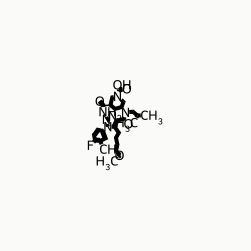 COCCCCc1c(C(=O)N(CC(C)C)[C@H]2C[C@@H](C(N)=O)CN(C(=O)O)C2)nnn1-c1ccc(F)c(C)c1